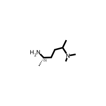 CC(CC[C@H](C)N)N(C)C